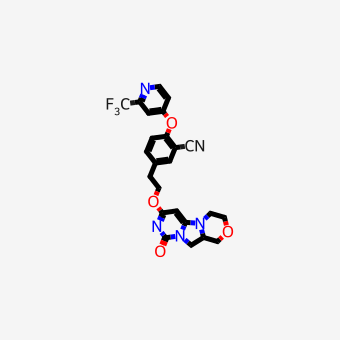 N#Cc1cc(CCOc2cc3n(c(=O)n2)CC2COCCN32)ccc1Oc1ccnc(C(F)(F)F)c1